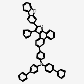 c1ccc(-c2ccc(N(c3ccc(-c4ccccc4)cc3)c3ccc(-c4ccc5c(c4)c4ccccc4c4oc(-c6ccc7c(c6)oc6ccccc67)c(-c6ccccc6)c54)cc3)cc2)cc1